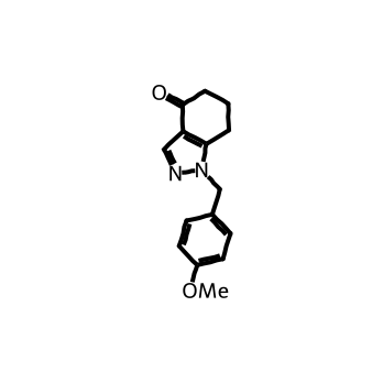 COc1ccc(Cn2ncc3c2CCCC3=O)cc1